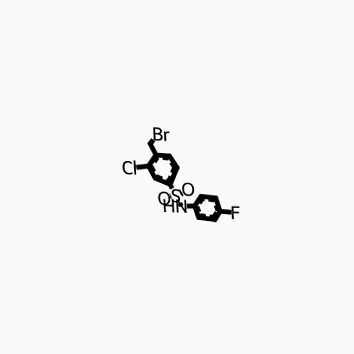 O=S(=O)(Nc1ccc(F)cc1)c1ccc(CBr)c(Cl)c1